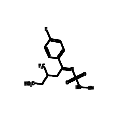 CC(C)(C)NS(=O)(=O)N=C(CC(CC(=O)O)C(F)(F)F)c1ccc(F)cc1